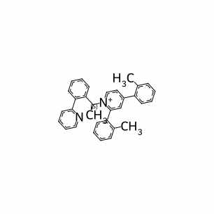 Cc1ccccc1-c1cc[n+]([C@@H](C)c2ccccc2-c2ccccn2)c(-c2ccccc2C)c1